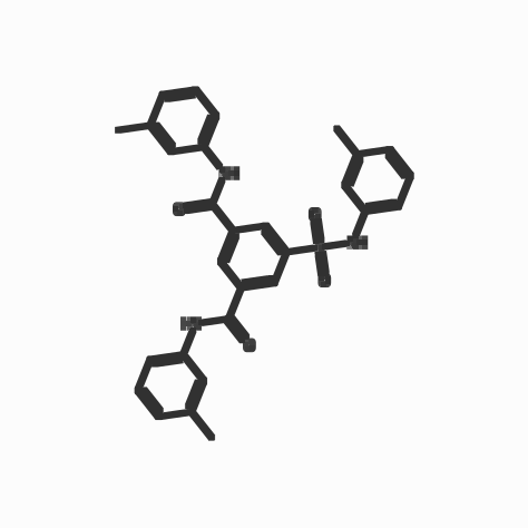 Cc1cccc(NC(=O)c2cc(C(=O)Nc3cccc(C)c3)cc(S(=O)(=O)Nc3cccc(C)c3)c2)c1